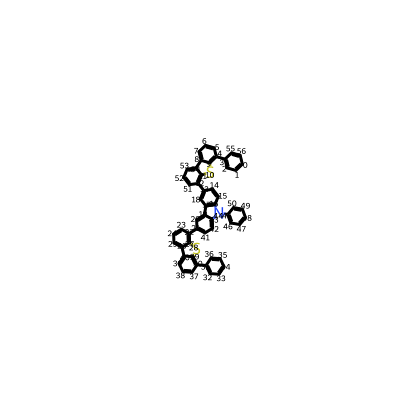 c1ccc(-c2cccc3c2sc2c(-c4ccc5c(c4)c4cc(-c6cccc7c6sc6c(-c8ccccc8)cccc67)ccc4n5-c4ccccc4)cccc23)cc1